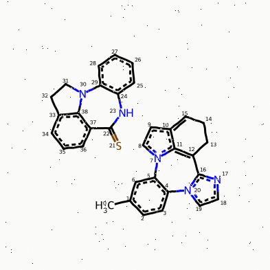 Cc1ccc2c(c1)-n1ccc3c1=C(CCC=3)c1nccn1-2.S=C1Nc2ccccc2N2CCc3cccc1c32